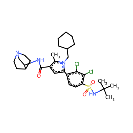 Cc1c(C(=O)NC2CN3CCC2CC3)cc(-c2ccc(S(=O)(=O)NC(C)(C)C)c(Cl)c2Cl)n1CC1CCCCC1